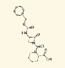 O=C(NC1CN(C(=O)N2CCCCC2C(=O)O)C1=O)OCc1ccccc1